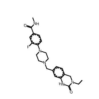 CCN1Cc2ccc(CN3CCN(c4ccc(C(=O)NC)cc4F)CC3)cc2NC1=O